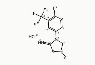 CC1CN(c2ccc(F)c(C(F)(F)F)c2)C(=N)S1.Cl